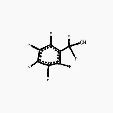 OC(F)(F)c1c(F)c(F)c(F)c(F)c1F